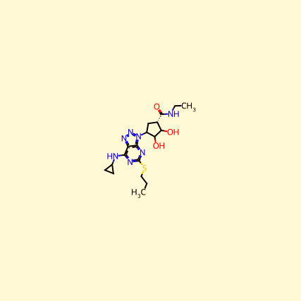 CCCSc1nc(NC2CC2)c2nnn(C3C[C@H](C(=O)NCC)C(O)C3O)c2n1